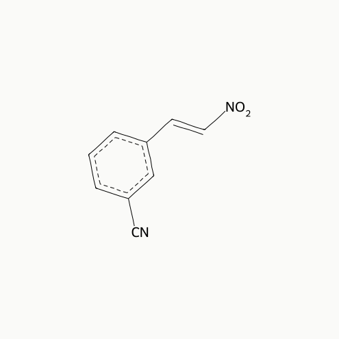 N#Cc1cccc(C=C[N+](=O)[O-])c1